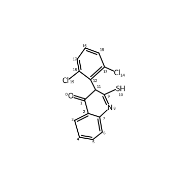 O=C1c2ccccc2N=C(S)C1c1c(Cl)cccc1Cl